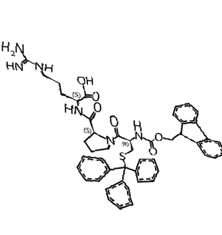 N=C(N)NCCC[C@H](NC(=O)[C@@H]1CCCN1C(=O)[C@H](CSC(c1ccccc1)(c1ccccc1)c1ccccc1)NC(=O)OCC1c2ccccc2-c2ccccc21)C(=O)O